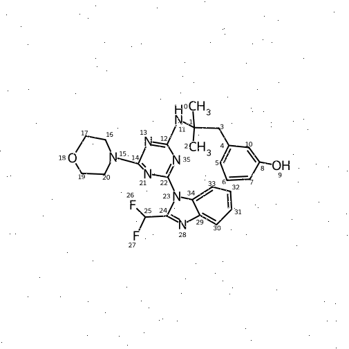 CC(C)(Cc1cccc(O)c1)Nc1nc(N2CCOCC2)nc(-n2c(C(F)F)nc3ccccc32)n1